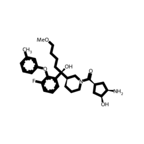 COCCCC[C@@](O)(c1cccc(F)c1Oc1cccc(C)c1)[C@@H]1CCCN(C(=O)[C@H]2C[C@@H](N)[C@@H](O)C2)C1